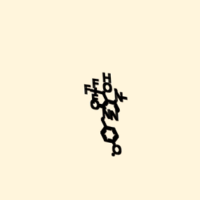 COc1ccc(Cn2ncc(N(C)C)c(C(O)C(F)(F)F)c2=O)cc1